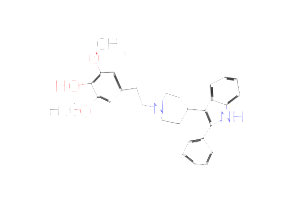 COc1cc(CCN2CCC(c3c(-c4ccccc4)[nH]c4ccccc34)CC2)cc(OC)c1O